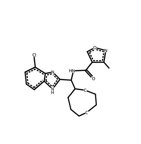 Cc1nocc1C(=O)NC(c1nc2c(Cl)cccc2[nH]1)C1CCCCCCC1